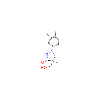 Cc1ccc(N2CC(C)(CO)C(=O)N2)cc1C